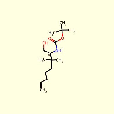 C=CCCCC(C)(C)[C@@H](CO)NC(=O)OC(C)(C)C